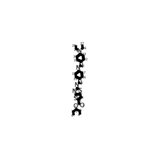 CCC(CC)OC(=O)c1cc2sc(N=Nc3ccc(N=Nc4ccc(N(CC)CC)cc4)cc3)nc2s1